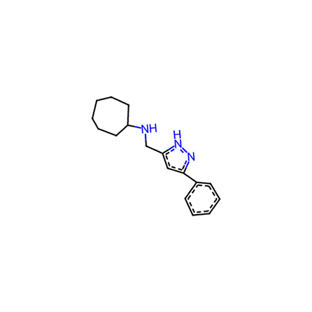 c1ccc(-c2cc(CNC3CCCCCC3)[nH]n2)cc1